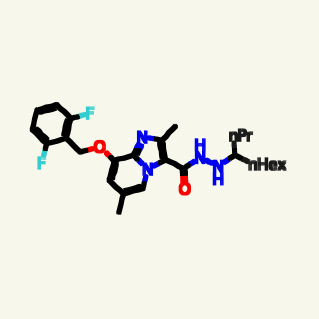 CCCCCCC(CCC)NNC(=O)c1c(C)nc2c(OCc3c(F)cccc3F)cc(C)cn12